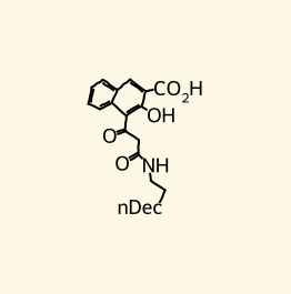 CCCCCCCCCCCCNC(=O)CC(=O)c1c(O)c(C(=O)O)cc2ccccc12